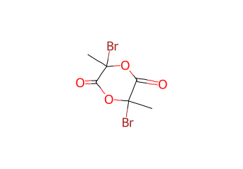 CC1(Br)OC(=O)C(C)(Br)OC1=O